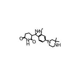 Cn1nc(C2CCC(=O)NC2=O)c2ccc(N3CCNC(C)(C)C3)cc21